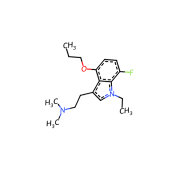 CCCOc1ccc(F)c2c1c(CCN(C)C)cn2CC